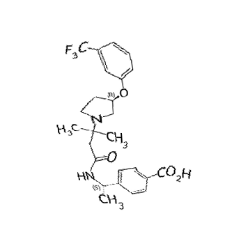 C[C@H](NC(=O)CC(C)(C)N1CC[C@@H](Oc2cccc(C(F)(F)F)c2)C1)c1ccc(C(=O)O)cc1